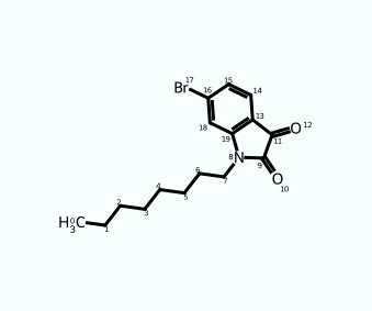 CCCCCCCCN1C(=O)C(=O)c2ccc(Br)cc21